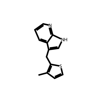 Cc1ccsc1Cc1c[nH]c2ncccc12